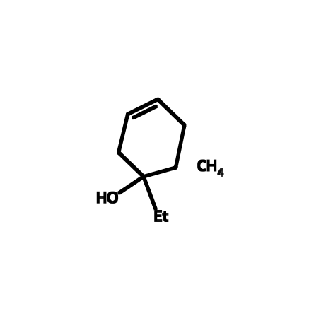 C.CCC1(O)CC=CCC1